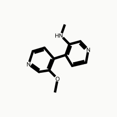 CNc1cnccc1-c1ccncc1OC